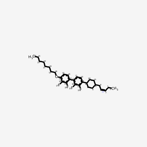 CC/C=C\CC1CCC(c2ccc(-c3ccc(OCCCCCCCC)c(F)c3F)c(F)c2F)CC1